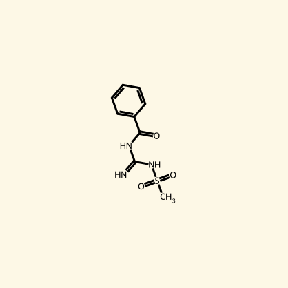 CS(=O)(=O)NC(=N)NC(=O)c1ccccc1